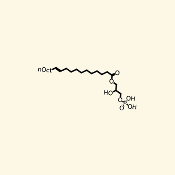 CCCCCCCCC=CCCCCCCCCCC(=O)OCC(O)COP(=O)(O)O